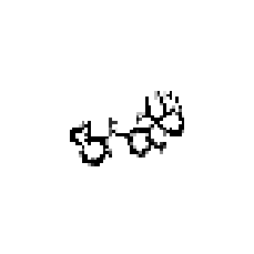 NC1OCC=NC1(c1cc(Nc2nccn3ccnc23)ccc1F)C(F)F